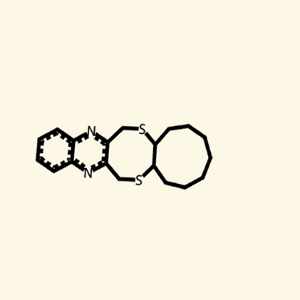 c1ccc2nc3c(nc2c1)CSC1CCCCCCCC1SC3